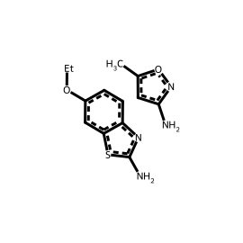 CCOc1ccc2nc(N)sc2c1.Cc1cc(N)no1